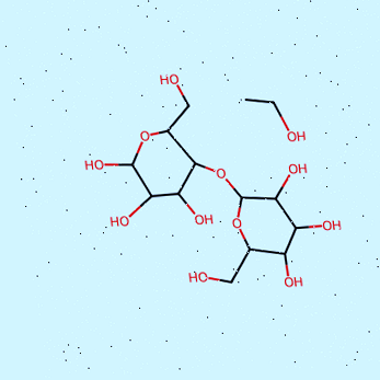 OCC1OC(OC2C(CO)OC(O)C(O)C2O)C(O)C(O)C1O.[CH2]CO